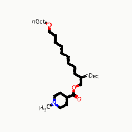 CCCCCCCCCCC(CCCCCCCCCOCCCCCCCC)COC(=O)C1CCN(C)CC1